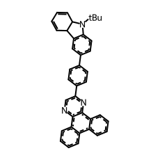 CC(C)(C)N1c2ccc(-c3ccc(-c4cnc5c6ccccc6c6ccccc6c5n4)cc3)cc2C2C=CC=CC21